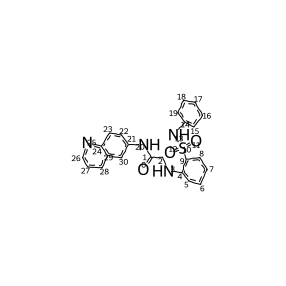 O=C(CNc1ccccc1S(=O)(=O)Nc1ccccc1)Nc1ccc2ncccc2c1